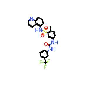 Cc1ccc(NC(=O)Nc2cccc(C(F)(F)F)c2)cc1S(=O)(=O)Nc1cccc2ncccc12